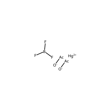 CC(=O)[O-].CC(=O)[O-].FB(F)F.[Hg+2]